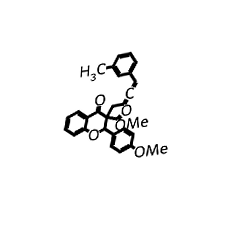 COC(=O)C1(CC=C=Cc2cccc(C)c2)C(=O)c2ccccc2OC1c1ccc(OC)cc1